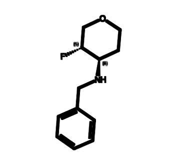 F[C@@H]1COCC[C@H]1NCc1ccccc1